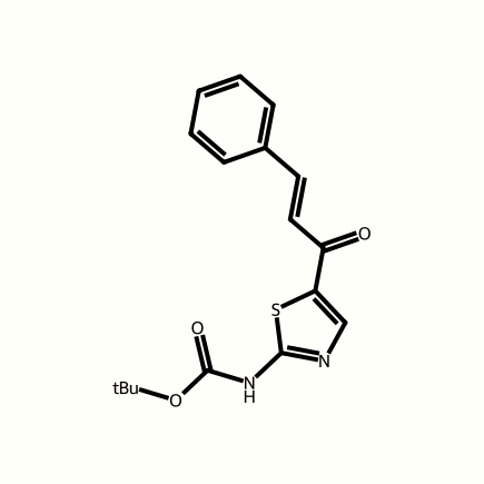 CC(C)(C)OC(=O)Nc1ncc(C(=O)/C=C/c2ccccc2)s1